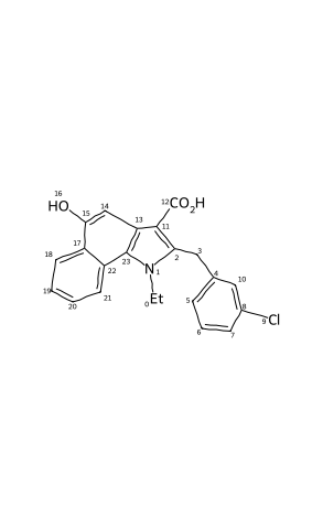 CCn1c(Cc2cccc(Cl)c2)c(C(=O)O)c2cc(O)c3ccccc3c21